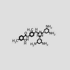 Cc1ccc(C(=O)Nc2ccc(Nc3nc(N4C[C@H](N)C[C@H](N)C4)nc(N4C[C@H](N)C[C@H](N)C4)n3)c(C)c2)c(O)c1